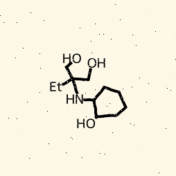 CCC(CO)(CO)NC1CCCCC1O